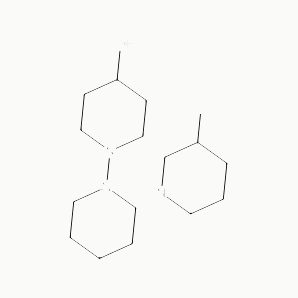 OC1CCCNC1.OC1CCN(N2CCCCC2)CC1